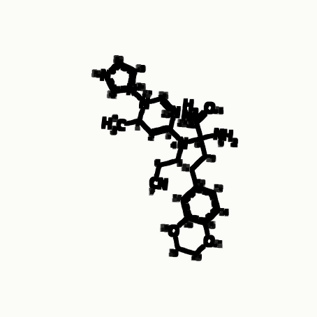 CC1C=C(N(CCC#N)C(N)(CCc2ccc3c(c2)OCCO3)C(N)=O)N=CN1n1ccnc1